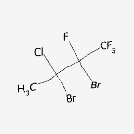 CC(Cl)(Br)C(F)(Br)C(F)(F)F